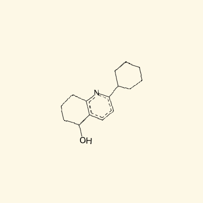 OC1CCCc2nc(C3CCCCC3)ccc21